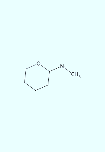 C[N]C1CCCCO1